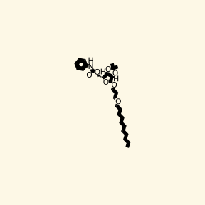 CCCCCCCCCCCOCCCO[C@@H]1O[C@H](COC(=O)Nc2ccccc2)[C@@H]2OC(C)(C)O[C@H]12